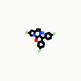 N#CC1CC(F)CN1C(=O)C(N)C(c1ccc(F)cc1)c1ccc(F)cc1